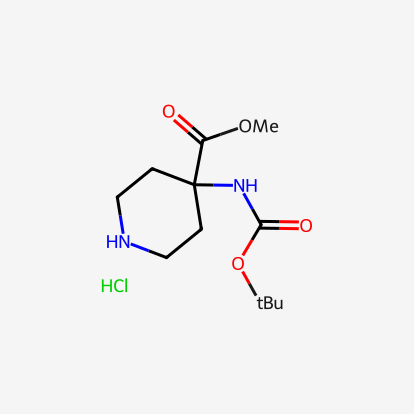 COC(=O)C1(NC(=O)OC(C)(C)C)CCNCC1.Cl